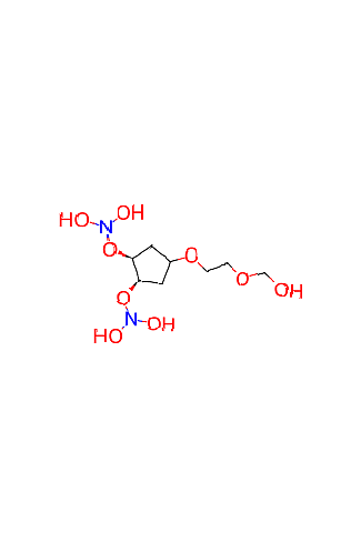 OCOCCOC1C[C@H](ON(O)O)[C@H](ON(O)O)C1